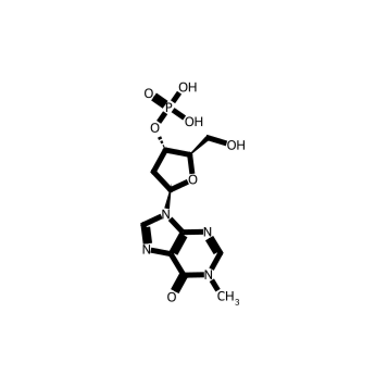 Cn1cnc2c(ncn2[C@H]2C[C@H](OP(=O)(O)O)[C@@H](CO)O2)c1=O